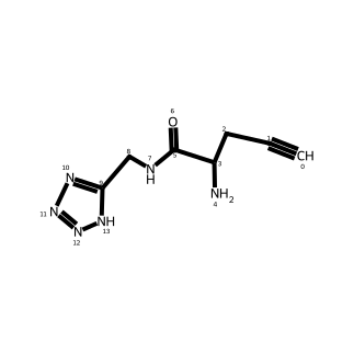 C#CCC(N)C(=O)NCc1nnn[nH]1